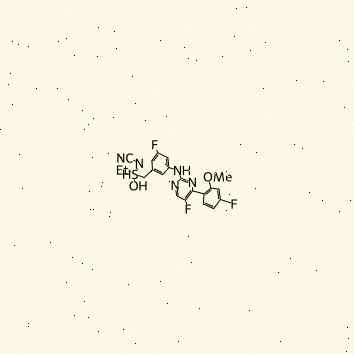 CC[SH](O)(Cc1cc(F)cc(Nc2ncc(F)c(-c3ccc(F)cc3OC)n2)c1)=NC#N